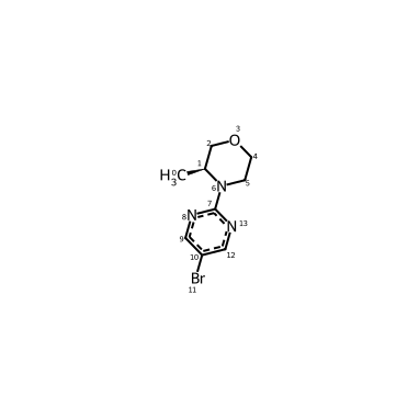 C[C@H]1COCCN1c1ncc(Br)cn1